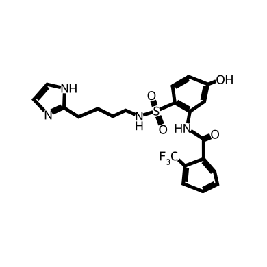 O=C(Nc1cc(O)ccc1S(=O)(=O)NCCCCc1ncc[nH]1)c1ccccc1C(F)(F)F